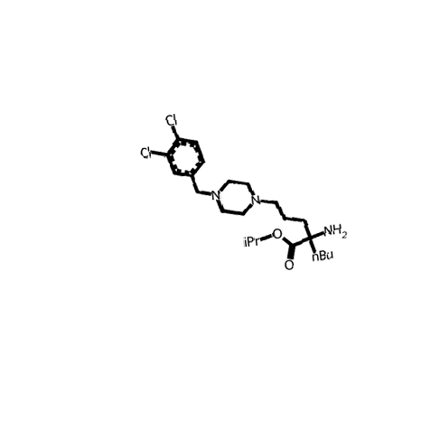 [CH2]CCCC(N)(CCCN1CCN(Cc2ccc(Cl)c(Cl)c2)CC1)C(=O)OC(C)C